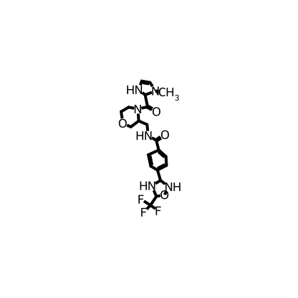 CN1C=CNC1C(=O)N1CCOCC1CNC(=O)c1ccc(C2NOC(C(F)(F)F)N2)cc1